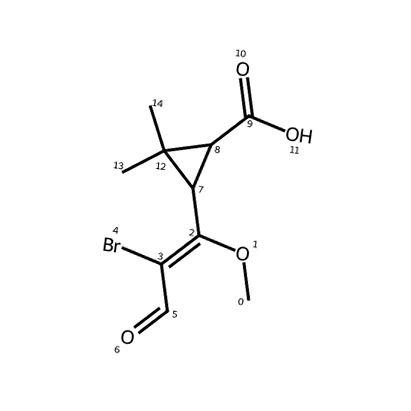 COC(=C(Br)C=O)C1C(C(=O)O)C1(C)C